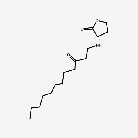 CCCCCCCCCC(=O)CCN[C@H]1CCOC1=O